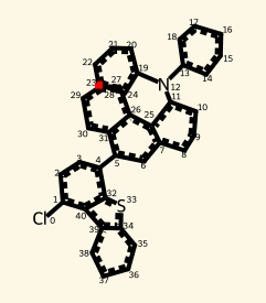 Clc1ccc(-c2cc3cccc(N(c4ccccc4)c4ccccc4)c3c3ccccc23)c2sc3ccccc3c12